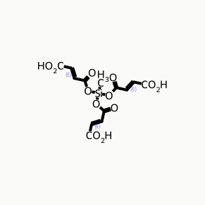 C[Si](OC(=O)/C=C/C(=O)O)(OC(=O)/C=C/C(=O)O)OC(=O)/C=C/C(=O)O